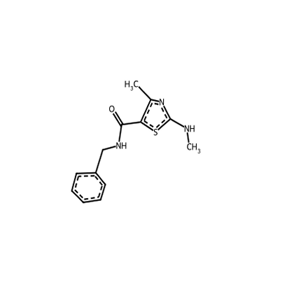 CNc1nc(C)c(C(=O)NCc2ccccc2)s1